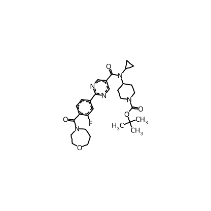 CC(C)(C)OC(=O)N1CCC(N(C(=O)c2cnc(-c3ccc(C(=O)N4CCCOCC4)c(F)c3)nc2)C2CC2)CC1